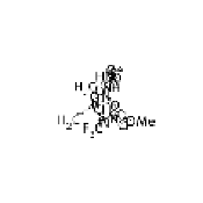 C=CCCCCN(C)C(=O)C1C[C@H](Oc2cc(-c3nc(C(F)(F)F)cs3)nc3c(Cl)c(OC)ccc23)CN1C(=O)N[C@]1(C(=O)NS(=O)(=O)C2CC2)C[C@H]1C=C